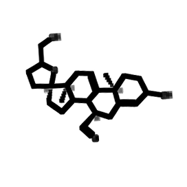 C[C@]12CCC(O)C=C1C[C@@H](C=O)C1C2=CC[C@@]2(C)C1CC[C@@]21CCC(CO)O1